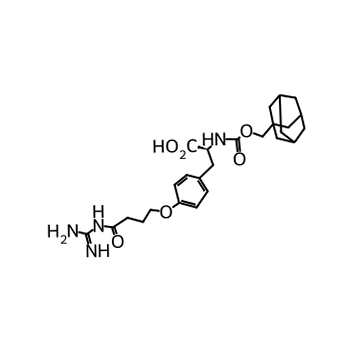 N=C(N)NC(=O)CCCOc1ccc(C[C@H](NC(=O)OCC23CC4CC(CC(C4)C2)C3)C(=O)O)cc1